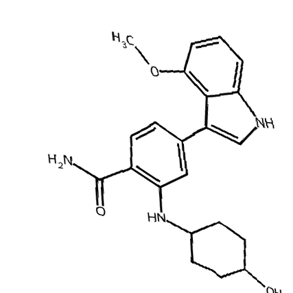 COc1cccc2[nH]cc(-c3ccc(C(N)=O)c(NC4CCC(O)CC4)c3)c12